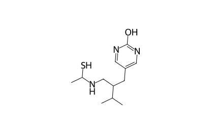 CC(S)NCC(Cc1cnc(O)nc1)C(C)C